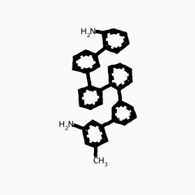 Cc1cc(N)cc(-c2cccc(-c3ccccc3-c3ccccc3-c3cccc(-c4ccccc4N)c3)c2)c1